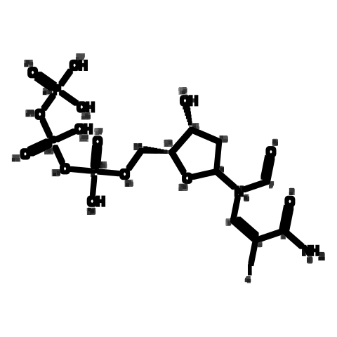 NC(=O)/C(I)=C\N(C=O)C1C[C@@H](O)[C@@H](COP(=O)(O)OP(=O)(O)OP(=O)(O)O)O1